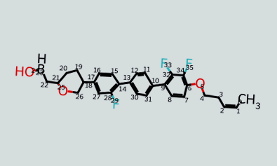 C/C=C\CCOc1ccc(-c2ccc(-c3ccc(C4CCC(CBO)OC4)cc3F)cc2)c(F)c1F